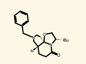 CC[C@@H](C)C1CO[C@]23CCN(Cc4ccccc4)C[C@H]2CCC(=O)N13